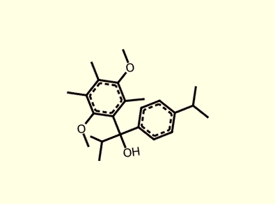 COc1c(C)c(C)c(OC)c(C(O)(c2ccc(C(C)C)cc2)C(C)C)c1C